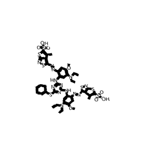 CCN(CC)c1cc(Nc2nc(Nc3cc(N(CC)CC)c(OC)cc3/N=N/c3snc4sc(S(=O)(=O)O)c(C)c34)nc(SC3CCCCC3)n2)c(/N=N/c2snc3sc(S(=O)(=O)O)c(C)c23)cc1OC